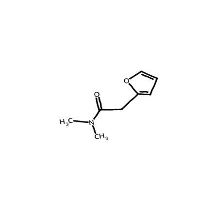 CN(C)C(=O)Cc1ccco1